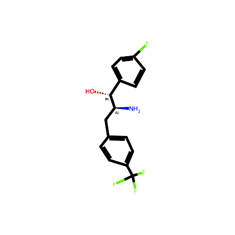 N[C@@H](Cc1ccc(C(F)(F)F)cc1)[C@H](O)c1ccc(F)cc1